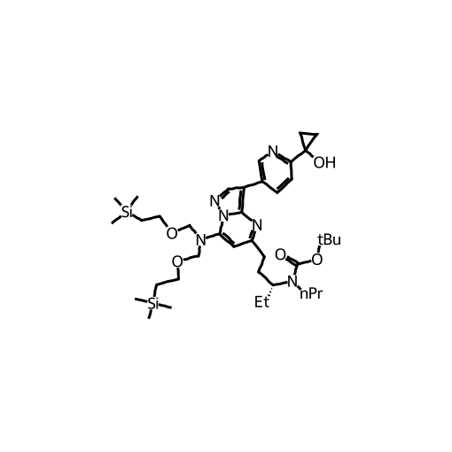 CCCN(C(=O)OC(C)(C)C)[C@H](CC)CCc1cc(N(COCC[Si](C)(C)C)COCC[Si](C)(C)C)n2ncc(-c3ccc(C4(O)CC4)nc3)c2n1